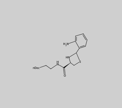 CCCCCCCCCCCCNC(=O)[C@@H]1CSC(c2ccccc2N)N1